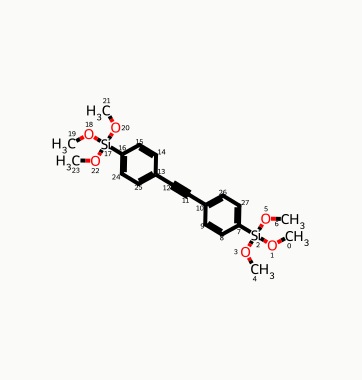 CO[Si](OC)(OC)c1ccc(C#Cc2ccc([Si](OC)(OC)OC)cc2)cc1